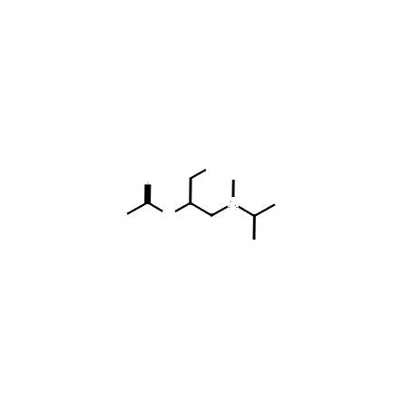 CC(=O)OC(C[O])CN(C)C(C)C